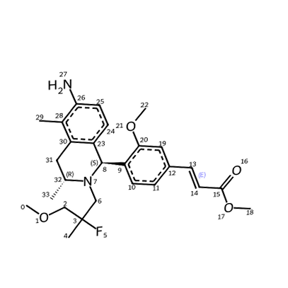 COCC(C)(F)CN1[C@H](c2ccc(/C=C/C(=O)OC)cc2OC)c2ccc(N)c(C)c2C[C@H]1C